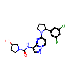 O=C(Nc1cnn2ccc(N3CCCC3c3cc(F)cc(Cl)c3)nc12)N1CCC(O)C1